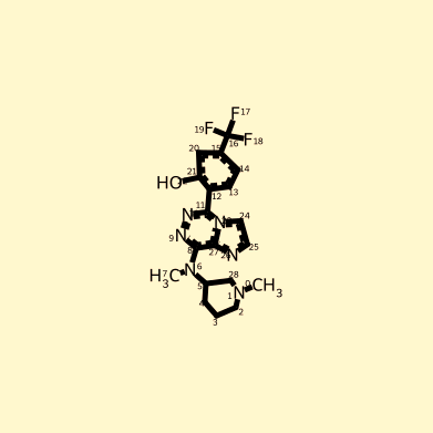 CN1CCCC(N(C)c2nnc(-c3ccc(C(F)(F)F)cc3O)n3ccnc23)C1